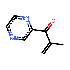 C=C(C)C(=O)c1cnccn1